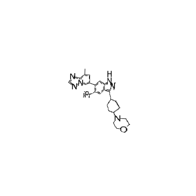 Cc1cc(-c2cc3[nH]nc(C4CCC(N5CCOCC5)CC4)c3cc2C(C)C)cn2ncnc12